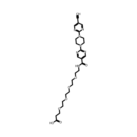 C#Cc1cnc(N2CCN(c3ncc(C(=O)NCCOCCOCCOCCOCCC(=O)O)cn3)CC2)nc1